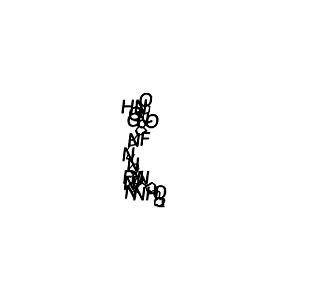 Nc1ncnc2c1c(-c1ccc(Oc3ccccc3)cc1)nn2[C@H]1CCN(C2CN(CC3CN(c4cc5c(cc4F)C(=O)N(C4CCC(=O)NC4=O)C5=O)C3)C2)C[C@H]1F